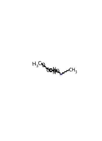 CCCCCCCC/C=C\CCOc1cnc(-c2ccc(OCCCCOCCC)cc2)nc1